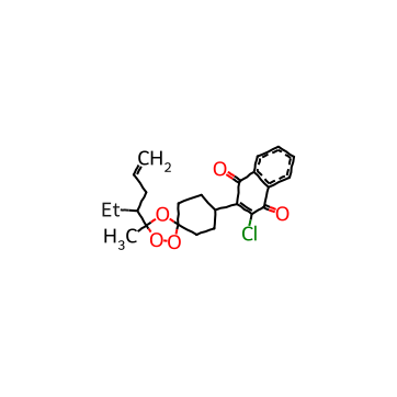 C=CCC(CC)C1(C)OOC2(CCC(C3=C(Cl)C(=O)c4ccccc4C3=O)CC2)O1